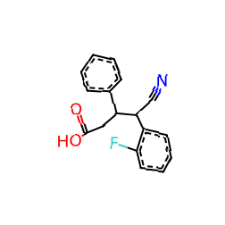 N#CC(c1ccccc1F)C(CC(=O)O)c1ccccc1